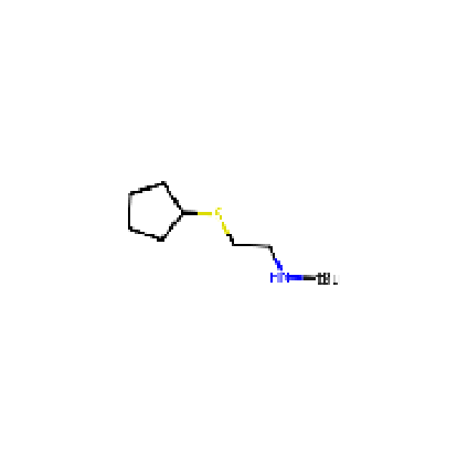 CC(C)(C)NCCSC1CCCC1